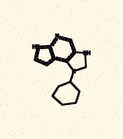 c1cc2c3c(cnc2[nH]1)NCN3C1CCCCC1